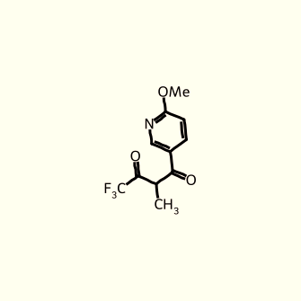 COc1ccc(C(=O)C(C)C(=O)C(F)(F)F)cn1